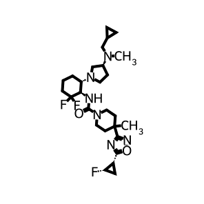 CN(CC1CC1)[C@H]1CCN([C@H]2CCCC(F)(F)[C@@H]2NC(=O)N2CCC(C)(c3noc([C@@H]4C[C@@H]4F)n3)CC2)C1